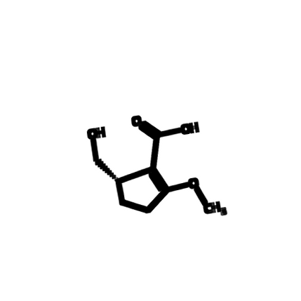 COC1=C(C(=O)O)[C@@H](CO)CC1